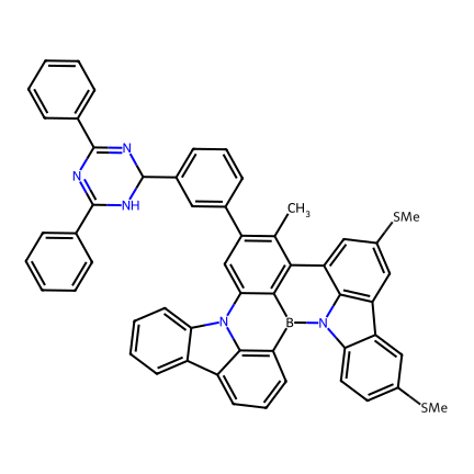 CSc1ccc2c(c1)c1cc(SC)cc3c1n2B1c2c(cc(-c4cccc(C5N=C(c6ccccc6)N=C(c6ccccc6)N5)c4)c(C)c2-3)-n2c3ccccc3c3cccc1c32